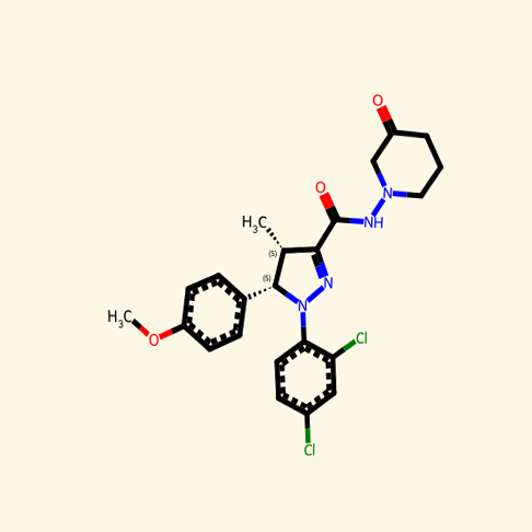 COc1ccc([C@@H]2[C@H](C)C(C(=O)NN3CCCC(=O)C3)=NN2c2ccc(Cl)cc2Cl)cc1